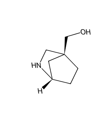 OC[C@@]12CC[C@@H](C1)NC2